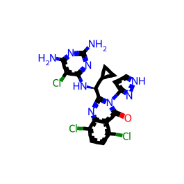 Nc1nc(N)c(Cl)c(N[C@H](c2nc3c(Cl)ccc(Cl)c3c(=O)n2-c2cc[nH]n2)C2CC2)n1